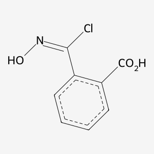 O=C(O)c1ccccc1/C(Cl)=N\O